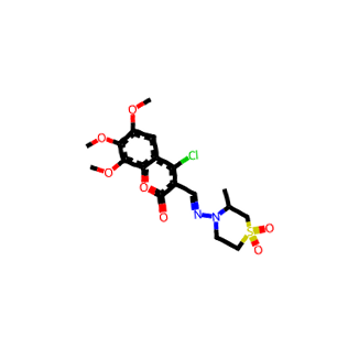 COc1cc2c(Cl)c(C=NN3CCS(=O)(=O)CC3C)c(=O)oc2c(OC)c1OC